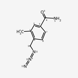 Cc1cc(C(N)=O)ccc1CN=[N+]=[N-]